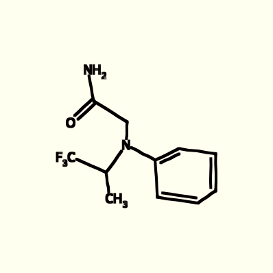 CC(N(CC(N)=O)c1ccccc1)C(F)(F)F